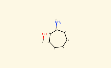 CO.NC1CCCCCC1